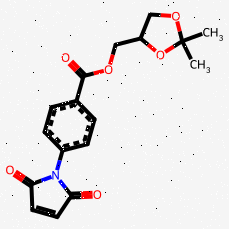 CC1(C)OCC(COC(=O)c2ccc(N3C(=O)C=CC3=O)cc2)O1